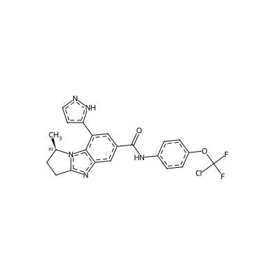 C[C@@H]1CCc2nc3cc(C(=O)Nc4ccc(OC(F)(F)Cl)cc4)cc(-c4ccn[nH]4)c3n21